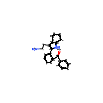 NCCc1c(-c2ccccc2C(=O)c2ccccc2)[nH]c2ccccc12